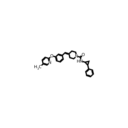 Cc1ccc(Oc2cccc(C=C3CCN(C(=O)NC4CC4c4ccccc4)CC3)c2)nc1